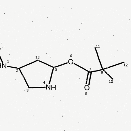 CNC1CNC(OC(=O)C(C)(C)C)C1